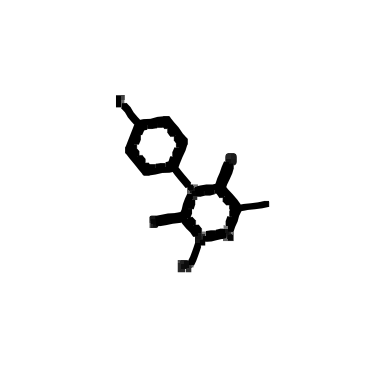 Cc1nn(C(C)C)c(=S)n(-c2ccc(F)cc2)c1=O